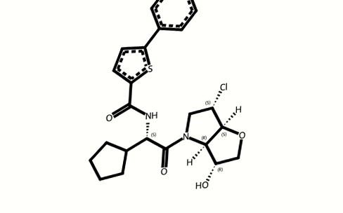 O=C(N[C@H](C(=O)N1C[C@H](Cl)[C@H]2OC[C@H](O)[C@H]21)C1CCCC1)c1ccc(-c2ccncc2)s1